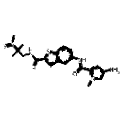 Cn1cc(N)cc1C(=O)Nc1ccc2sc(C(=O)NCC(C)(C)S(C)=S)cc2c1